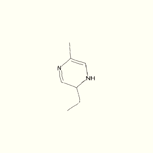 CCC1C=NC(C)=CN1